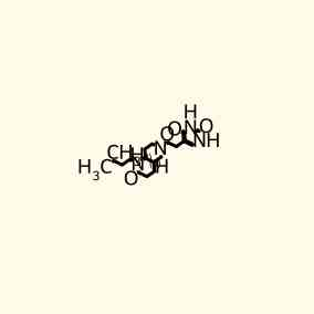 CC(C)CCN1C(=O)CC[C@H]2CN(C(=O)Cc3c[nH]c(=O)[nH]c3=O)CC[C@H]21